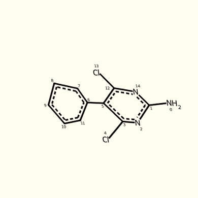 Nc1nc(Cl)c(-c2ccccc2)c(Cl)n1